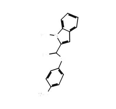 CSc1ccc(OC(C)c2cc3ccccc3n2C)cc1